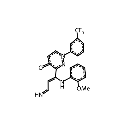 COc1ccccc1N/C(=C\C=N)c1nn(-c2cccc(C(F)(F)F)c2)ccc1=O